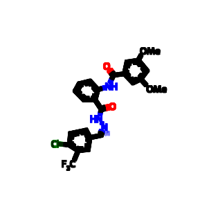 COc1cc(OC)cc(C(=O)Nc2ccccc2C(=O)N/N=C\c2ccc(Cl)c(C(F)(F)F)c2)c1